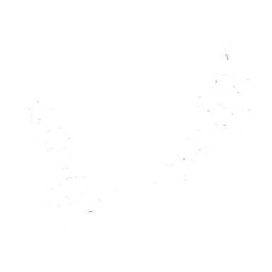 CC(C)(C)[C@H](NC(=O)COCCCCOc1ccc(-c2ccc(N3C(=S)N(c4cc(Cl)c(C#N)cc4F)C(=O)C3(C)C)cc2)cc1)C(=O)N1C[C@H](O)C[C@H]1C(=O)NCc1ccc(-c2cnco2)cc1